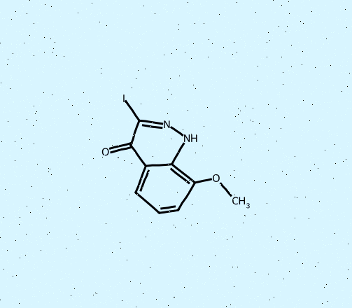 COc1cccc2c(=O)c(I)n[nH]c12